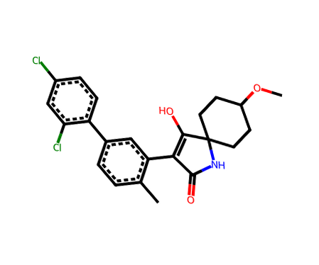 COC1CCC2(CC1)NC(=O)C(c1cc(-c3ccc(Cl)cc3Cl)ccc1C)=C2O